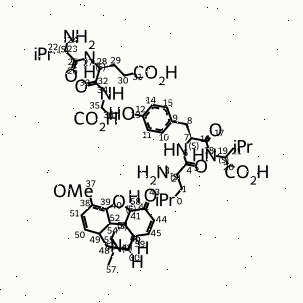 CC(C)C[C@H](N)C(=O)N[C@@H](Cc1ccc(O)cc1)C(=O)N[C@H](C(=O)O)C(C)C.CC(C)[C@H](N)C(=O)N[C@@H](CCC(=O)O)C(=O)NCC(=O)O.COC1=C2O[C@H]3C(=O)C=C[C@H]4[C@H]5CC(C=C1)C2[C@@]34CCN5C